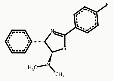 CN(C)[C@@H]1SC(c2ccc(F)cc2)=N[C@H]1c1ccccc1